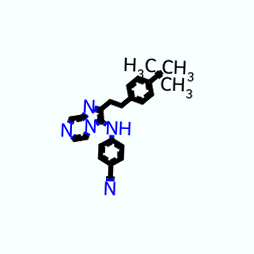 CC(C)(C)c1ccc(CCc2nc3cnccn3c2Nc2ccc(C#N)cc2)cc1